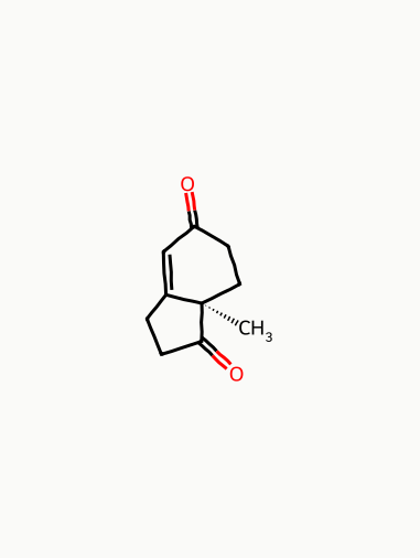 C[C@@]12CCC(=O)C=C1CCC2=O